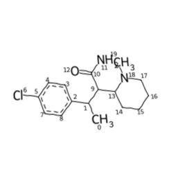 CC(c1ccc(Cl)cc1)C(C(N)=O)C1CCCCN1C